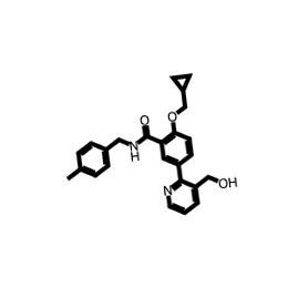 Cc1ccc(CNC(=O)c2cc(-c3ncccc3CO)ccc2OCC2CC2)cc1